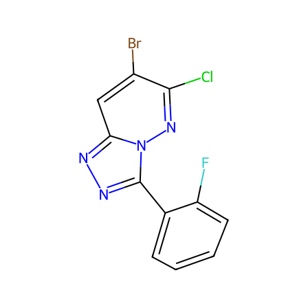 Fc1ccccc1-c1nnc2cc(Br)c(Cl)nn12